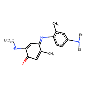 CCOC(=O)NC1=CC(=Nc2ccc(N(CC)CC)cc2C)C(C)=CC1=O